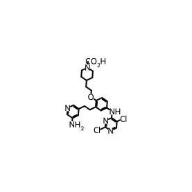 Nc1cncc(CCc2cc(Nc3nc(Cl)ncc3Cl)ccc2OCCC2CCN(C(=O)O)CC2)c1